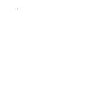 CC(C)=CCC[C@H](C)CCc1ccc(N)cc1